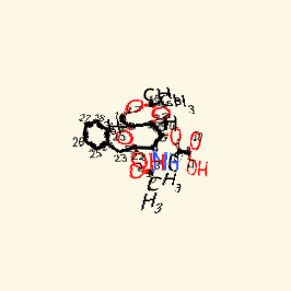 CC(=O)N[C@@H]1[C@@H](OC(C)C(=O)O)[C@@H]2OC(C)(C)OC[C@H]2O[C@@]1(O)Cc1ccccc1